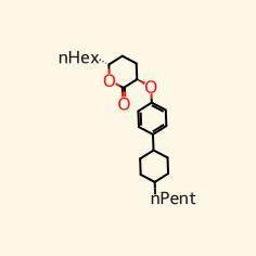 CCCCCC[C@@H]1CC[C@@H](Oc2ccc(C3CCC(CCCCC)CC3)cc2)C(=O)O1